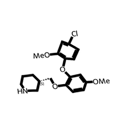 COc1ccc(OC[C@H]2CCCNC2)c(Oc2ccc(Cl)cc2OC)c1